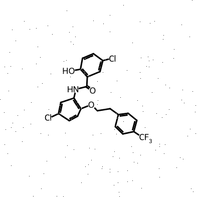 O=C(Nc1cc(Cl)ccc1OCCc1ccc(C(F)(F)F)cc1)c1cc(Cl)ccc1O